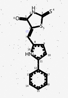 O=C1NC(=S)S/C1=C\c1ccc(-c2ccccc2)[nH]1